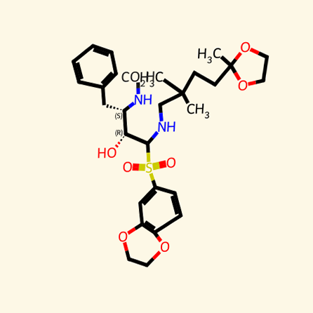 CC(C)(CCC1(C)OCCO1)CNC([C@H](O)[C@H](Cc1ccccc1)NC(=O)O)S(=O)(=O)c1ccc2c(c1)OCCO2